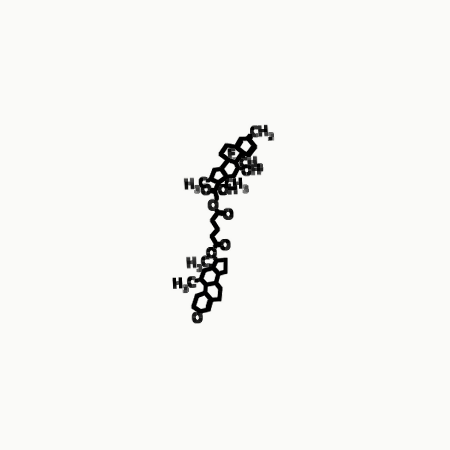 C=C1C=C[C@@]2(C)C(=C1)CCC1C3C[C@H](C)[C@](O)(C(=O)COC(=O)CCCC(=O)O[C@H]4CCC5C6CCC7=CC(=O)CCC7C6[C@@H](C)C[C@@]54C)[C@@]3(C)C[C@H](O)[C@@]12F